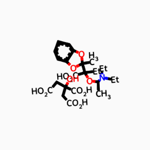 CCN(CC)C(C)OC(CC)(C(=O)O)C1(C)Oc2ccccc2O1.O=C(O)CC(O)(CC(=O)O)C(=O)O